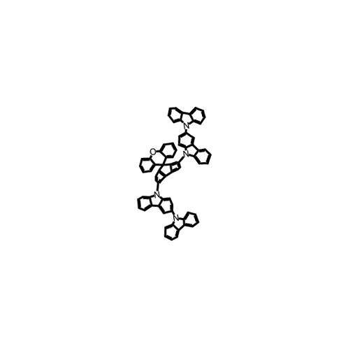 c1ccc2c(c1)Oc1ccccc1C21c2ccc(-n3c4ccccc4c4cc(-n5c6ccccc6c6ccccc65)ccc43)cc2-c2ccc(-n3c4ccccc4c4cc(-n5c6ccccc6c6ccccc65)ccc43)cc21